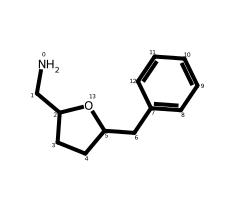 NCC1CCC(Cc2ccccc2)O1